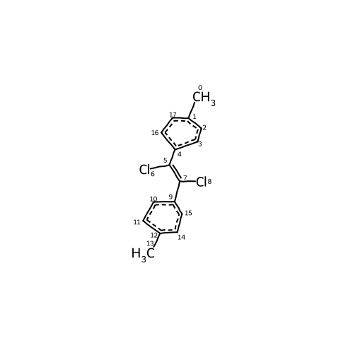 Cc1ccc(/C(Cl)=C(\Cl)c2ccc(C)cc2)cc1